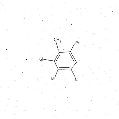 Cc1c(C(C)C)cc(Cl)c(Br)c1Cl